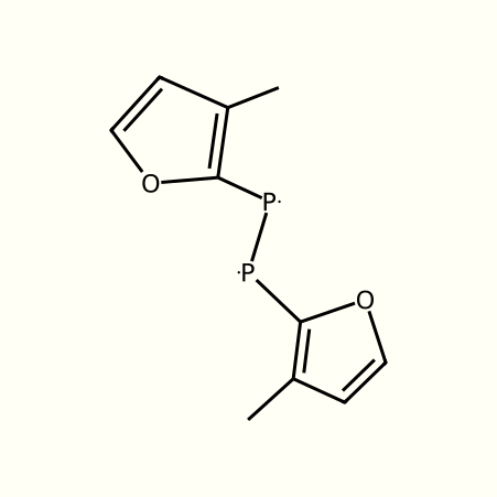 Cc1ccoc1[P][P]c1occc1C